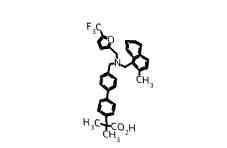 Cc1ccc2ccccc2c1CN(Cc1ccc(-c2ccc(C(C)(C)C(=O)O)cc2)cc1)Cc1ccc(C(F)(F)F)o1